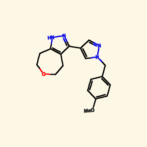 COc1ccc(Cn2cc(-c3n[nH]c4c3CCOCC4)cn2)cc1